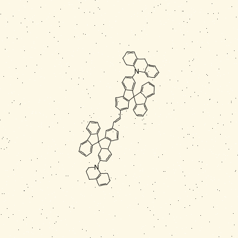 C1=CC2=C(CC1)N(C1=CC3C(C=C1)c1ccc(/C=C/c4ccc5c(c4)C4(c6ccccc6-c6ccccc64)c4cc(N6C7=C(C=CCC7)Cc7ccccc76)ccc4-5)cc1C31c3ccccc3-c3ccccc31)CCC2